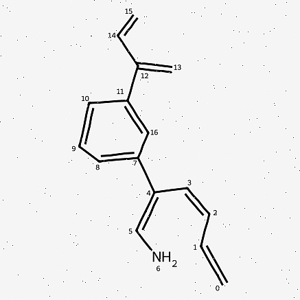 C=C/C=C\C(=C/N)c1cccc(C(=C)C=C)c1